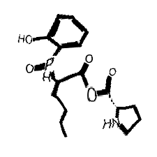 CCCCC(C(=O)OC(=O)[C@@H]1CCCN1)[PH](=O)c1ccccc1O